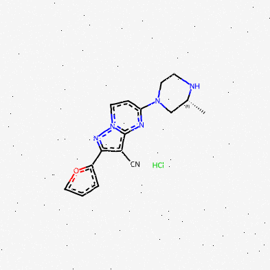 C[C@@H]1CN(c2ccn3nc(-c4ccco4)c(C#N)c3n2)CCN1.Cl